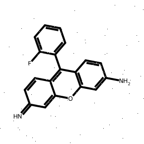 N=c1ccc2c(-c3ccccc3F)c3ccc(N)cc3oc-2c1